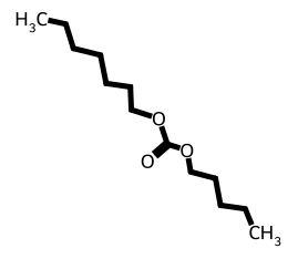 CCCCCCCOC(=O)OCCCCC